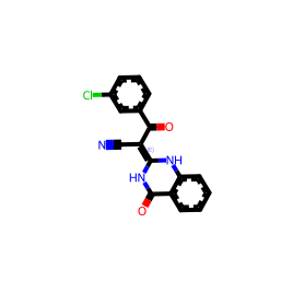 N#C/C(C(=O)c1cccc(Cl)c1)=C1\NC(=O)c2ccccc2N1